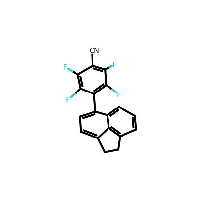 N#Cc1c(F)c(F)c(-c2ccc3c4c(cccc24)CC3)c(F)c1F